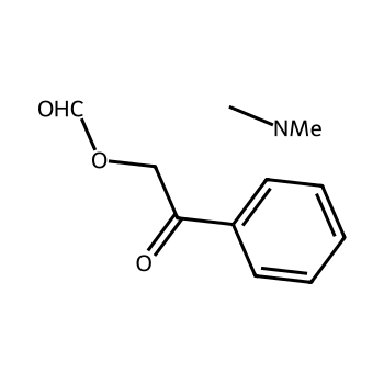 CNC.O=COCC(=O)c1ccccc1